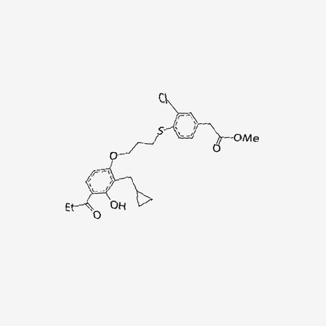 CCC(=O)c1ccc(OCCCSc2ccc(CC(=O)OC)cc2Cl)c(CC2CC2)c1O